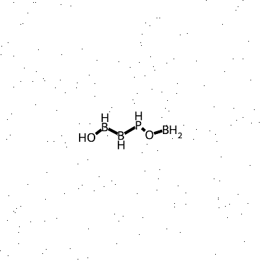 BOPBBO